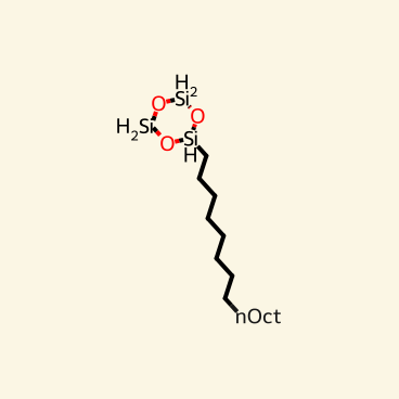 CCCCCCCCCCCCCCCC[SiH]1O[SiH2]O[SiH2]O1